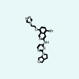 CC(C)c1ccc(OCCn2cnnc2)c2cnc(Nc3ccnc(N4CCC5COCC54)n3)cc12